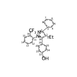 CCc1c(-c2cc[c]cc2)nn(-c2ccccc2C(F)(F)F)c1-c1ccc(O)cc1